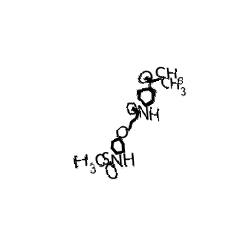 CSC(=O)N[C@H]1CC[C@@H](OCCCC(=O)N[C@H]2CC[C@H](C(=O)C(C)C)CC2)CC1